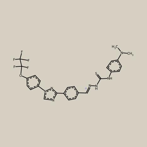 CN(C)c1ccc(NC(=S)N/N=C/c2ccc(-c3ncn(-c4ccc(OC(F)(F)C(F)(F)F)cc4)n3)cc2)cc1